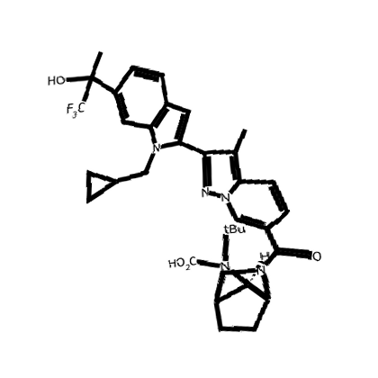 Cc1c(-c2cc3ccc(C(C)(O)C(F)(F)F)cc3n2CC2CC2)nn2cc(C(=O)N3CC4CCC3[C@@H]4N(C(=O)O)C(C)(C)C)ccc12